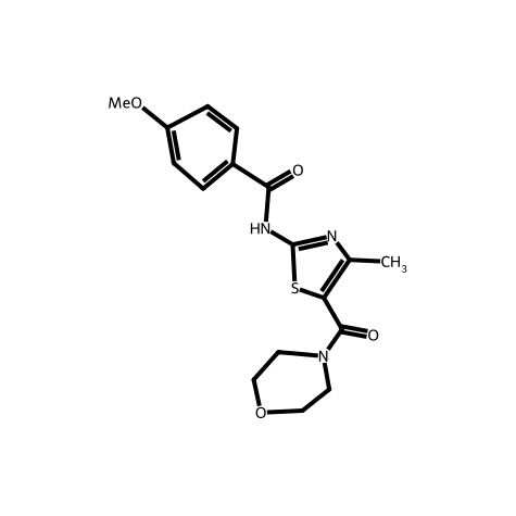 COc1ccc(C(=O)Nc2nc(C)c(C(=O)N3CCOCC3)s2)cc1